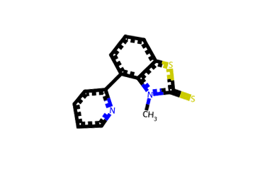 Cn1c(=S)sc2cccc(-c3ccccn3)c21